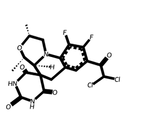 C[C@@H]1CN2c3c(cc(C(=O)C(Cl)Cl)c(F)c3F)CC3(C(=O)NC(=O)NC3=O)[C@H]2[C@H](C)O1